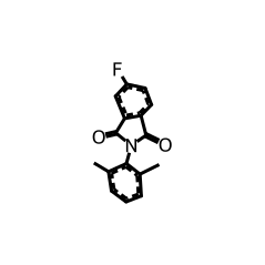 Cc1cccc(C)c1N1C(=O)c2ccc(F)cc2C1=O